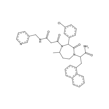 CC1CCN(C(Cc2cccc3ccccc23)C(N)=O)C(=O)C(c2cccc(Cl)c2)N1C(=O)CC(=O)NCc1cccnc1